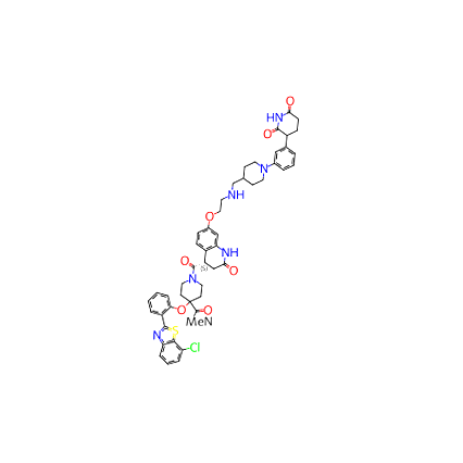 CNC(=O)C1(Oc2ccccc2-c2nc3cccc(Cl)c3s2)CCN(C(=O)[C@H]2CC(=O)Nc3cc(OCCNCC4CCN(c5cccc(C6CCC(=O)NC6=O)c5)CC4)ccc32)CC1